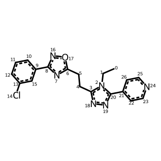 CCn1c(CCc2nc(-c3cccc(Cl)c3)no2)nnc1-c1ccncc1